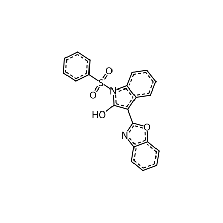 O=S(=O)(c1ccccc1)n1c(O)c(-c2nc3ccccc3o2)c2ccccc21